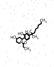 CCCCCCC(C)(C)c1ccc(C2CC(O)CCN2C(=O)CC)c(O)c1